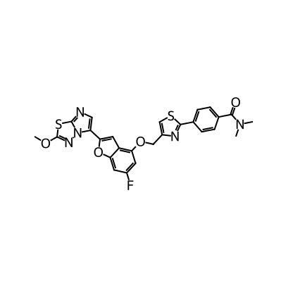 COc1nn2c(-c3cc4c(OCc5csc(-c6ccc(C(=O)N(C)C)cc6)n5)cc(F)cc4o3)cnc2s1